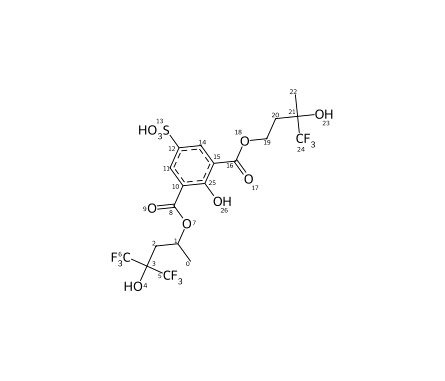 CC(CC(O)(C(F)(F)F)C(F)(F)F)OC(=O)c1cc(S(=O)(=O)O)cc(C(=O)OCCC(C)(O)C(F)(F)F)c1O